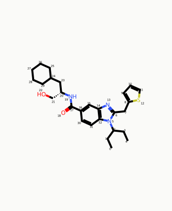 CCC(CC)n1c(Cc2cccs2)nc2cc(C(=O)N[C@H](CO)CC3CCCCC3)ccc21